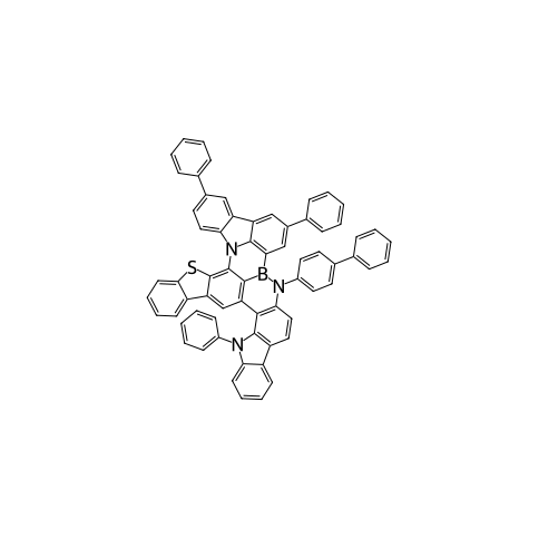 c1ccc(-c2ccc(N3B4c5c(cc6c(sc7ccccc76)c5-n5c6ccc(-c7ccccc7)cc6c6cc(-c7ccccc7)cc4c65)-c4c3ccc3c5ccccc5n(-c5ccccc5)c43)cc2)cc1